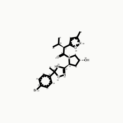 Cc1cc([C@@H](C(=O)N2C[C@H](O)C[C@H]2C2=NOC(C)(c3ccc(Br)cc3)N2)C(C)C)on1